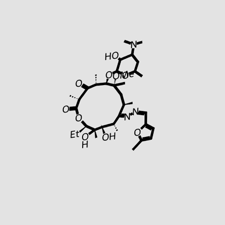 CC[C@H]1OC(=O)[C@H](C)C(=O)[C@H](C)[C@@H](OC2OC(C)CC(N(C)C)C2O)[C@](C)(OC)C[C@@H](C)/C(=N\N=C/c2ccc(C)o2)[C@H](C)[C@@H](O)[C@]1(C)O